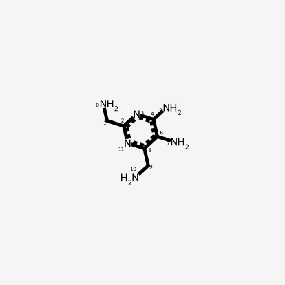 NCc1nc(N)c(N)c(CN)n1